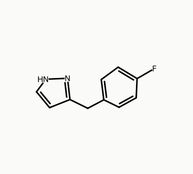 Fc1ccc(Cc2cc[nH]n2)cc1